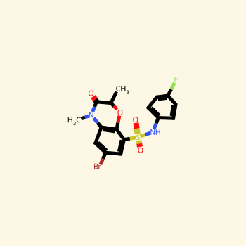 CC1Oc2c(cc(Br)cc2S(=O)(=O)Nc2ccc(F)cc2)N(C)C1=O